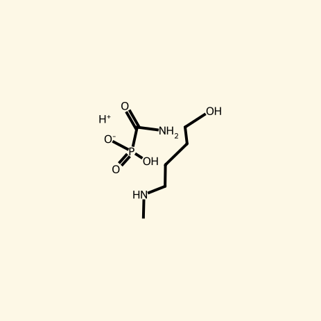 CNCCCCO.NC(=O)P(=O)([O-])O.[H+]